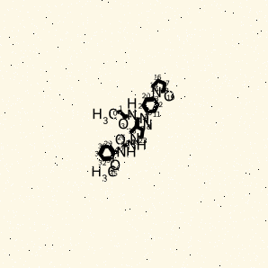 CCC(=O)Nc1c2c(nn1-c1ccc(N3CCCC3=O)cc1)CN(NC(=O)Nc1ccccc1OC)C2